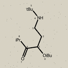 CC(C)COC(CCNC(C)(C)C)C(=O)C(C)C